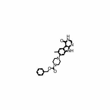 Cc1cc2c(cc1N1CCN(C(=O)OCc3ccccc3)CC1)[nH]c1nc[nH]c(=O)c12